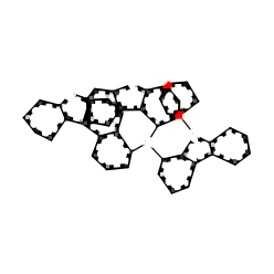 c1ccc(-n2c3ccccc3c3cccc(N(c4cccc5c4ccc4oc6ccccc6c45)c4cccc5sc6ccccc6c45)c32)cc1